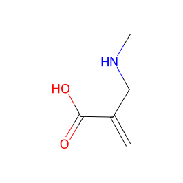 C=C(CNC)C(=O)O